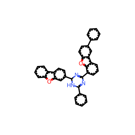 c1ccc(C2=NC(c3cccc4c3oc3ccc(-c5ccccc5)cc34)=NC(c3ccc4c(c3)oc3ccccc34)N2)cc1